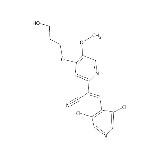 COc1cnc(/C(C#N)=C/c2c(Cl)cncc2Cl)cc1OCCCO